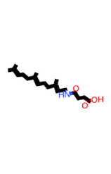 CC(C)=CCC/C(C)=C/CC/C(C)=C/CNC(=O)CCC(=O)O